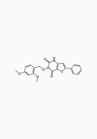 COc1ccc(COn2c(=O)[nH]c3cc(-c4ccccc4)sc3c2=O)c(OC)c1